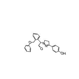 O=CC(c1ccccc1COc1ccccc1)N1CCC(c2ccc(O)cc2)=N1